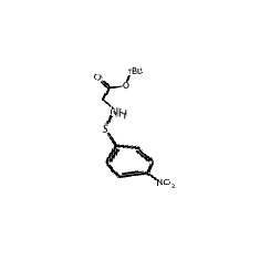 CC(C)(C)OC(=O)CNSc1ccc([N+](=O)[O-])cc1